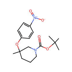 CC(C)(C)OC(=O)N1CCCC(C)(Oc2ccc([N+](=O)[O-])cc2)C1